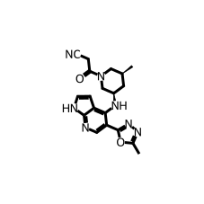 Cc1nnc(-c2cnc3[nH]ccc3c2N[C@@H]2C[C@H](C)CN(C(=O)CC#N)C2)o1